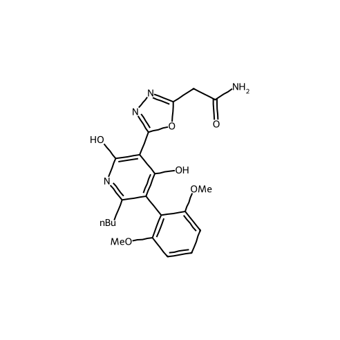 CCCCc1nc(O)c(-c2nnc(CC(N)=O)o2)c(O)c1-c1c(OC)cccc1OC